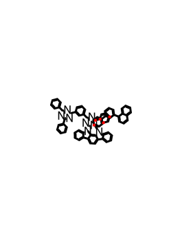 C1=CCC(c2nc(-c3cccc(-c4nc(-c5ccccc5)nc(-c5ccccc5)n4)c3)nc(-n3c4ccccc4c4ccc5c6ccccc6n(-c6cccc(-c7cccc(-c8cccc9ccccc89)c7)c6)c5c43)n2)C=C1